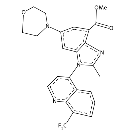 COC(=O)c1cc(N2CCOCC2)cc2c1nc(C)n2-c1ccnc2c(C(F)(F)F)cccc12